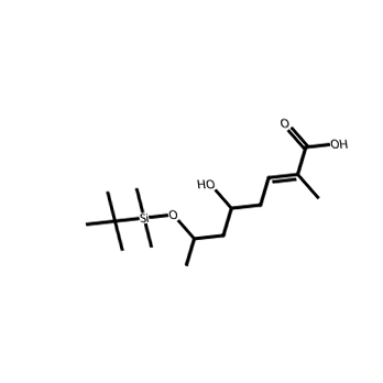 C/C(=C\CC(O)CC(C)O[Si](C)(C)C(C)(C)C)C(=O)O